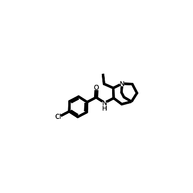 CCC1C(NC(=O)c2ccc(Cl)cc2)CC2CCN1CC2